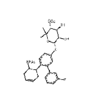 CO[C@@H]1[C@@H](O)[C@@H](O)[C@H](Oc2ccc(C3CC=CCC3NC(C)=O)c(-c3cccc(F)c3)c2)OC1(C)C